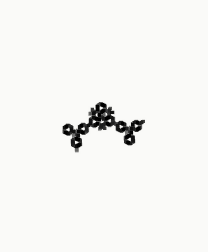 Cc1ccc(N(c2ccccc2)c2ccc(-c3cc4c5c(c3)C(C)(C)c3cc(-c6ccc(N(c7ccccc7)c7ccc(C)cc7)cc6)cc6c3N5c3c(cccc3C6(C)C)C4(C)C)cc2)cc1